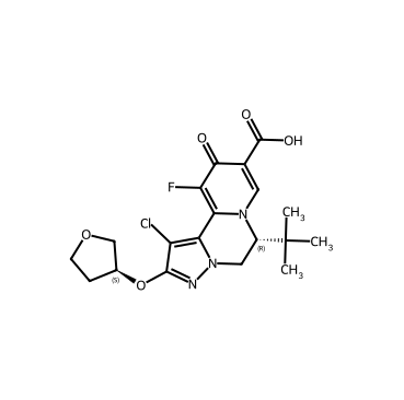 CC(C)(C)[C@@H]1Cn2nc(O[C@H]3CCOC3)c(Cl)c2-c2c(F)c(=O)c(C(=O)O)cn21